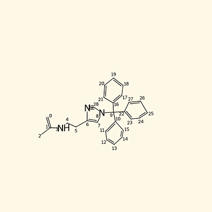 C=C(C)NCCc1cn(C(c2ccccc2)(c2ccccc2)c2ccccc2)cn1